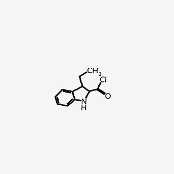 CCC1c2ccccc2NC1C(=O)Cl